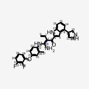 C=C/C(C(=O)c1cc2c(-c3cn[nH]c3)cccc2[nH]1)=C(/N)Nc1ccc(Oc2cccc(F)c2F)cc1C